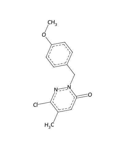 COc1ccc(Cn2nc(Cl)c(C)cc2=O)cc1